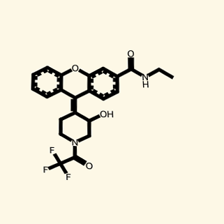 CCNC(=O)c1ccc2c(c1)Oc1ccccc1C2=C1CCN(C(=O)C(F)(F)F)CC1O